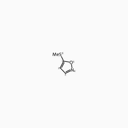 CSc1ccno1